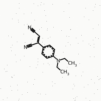 CCN(CC)c1ccc(C(C#N)=CC#N)cc1